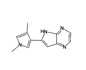 Cc1cn(C)cc1-c1cc2nccnc2[nH]1